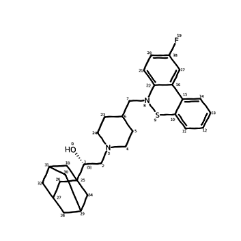 O[C@H](CN1CCC(CN2Sc3ccccc3-c3cc(F)ccc32)CC1)C12CC3CC(CC(C3)C1)C2